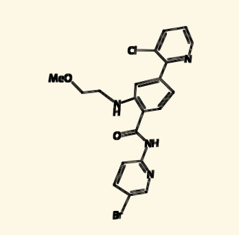 COCCNc1cc(-c2ncccc2Cl)ccc1C(=O)Nc1ccc(Br)cn1